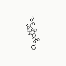 CCOC(=O)c1ccoc1Cn1c(=O)c2cc(C(=O)OCc3ccccc3)sc2n(C)c1=O